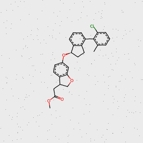 COC(=O)CC1COc2cc(O[C@@H]3CCc4c(-c5c(C)cccc5Cl)cccc43)ccc21